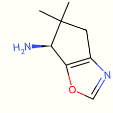 CC1(C)Cc2ncoc2[C@H]1N